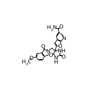 COc1ccc2c(c1)C(=O)N(C[C@@]1(c3cc4cc(C(N)=O)cnc4o3)NC(=O)NC1=O)C2